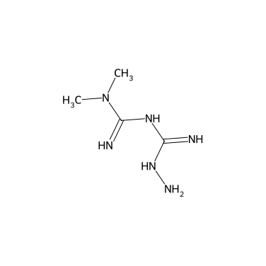 CN(C)C(=N)NC(=N)NN